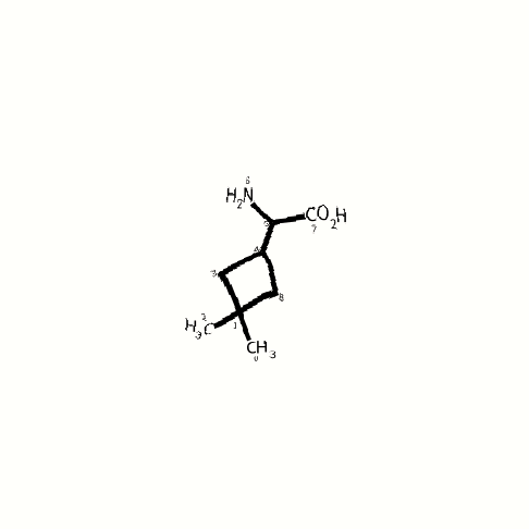 CC1(C)CC(C(N)C(=O)O)C1